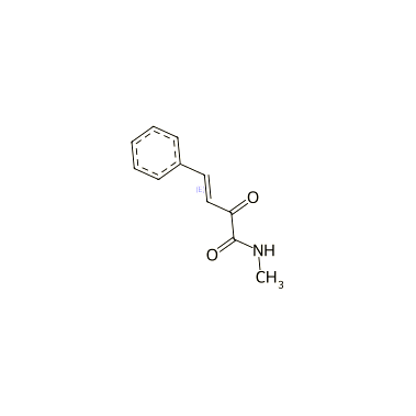 CNC(=O)C(=O)/C=C/c1ccccc1